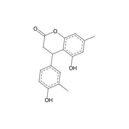 Cc1cc(O)c2c(c1)OC(=O)CC2c1ccc(O)c(C)c1